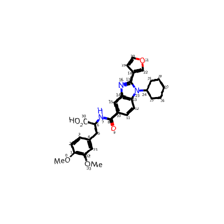 COc1ccc(CC(NC(=O)c2ccc3c(c2)nc(-c2ccoc2)n3C2CCCCC2)C(=O)O)cc1OC